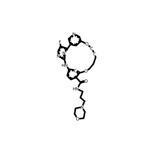 O=C(NCCCN1CCOCC1)c1ccc2cc1OCCCCCOc1cncc(c1)-c1nc(ncc1F)N2